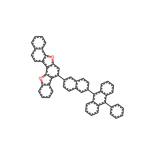 c1ccc(-c2c3ccccc3c(-c3ccc4cc(-c5cc6oc7c8ccccc8ccc7c6c6oc7ccccc7c56)ccc4c3)c3ccccc23)cc1